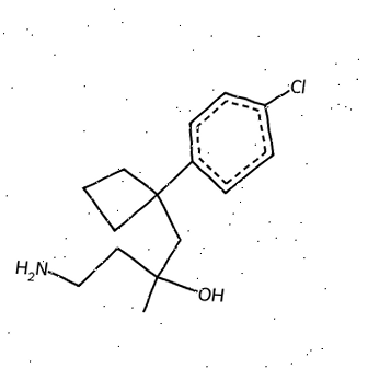 CC(O)(CCN)CC1(c2ccc(Cl)cc2)CCC1